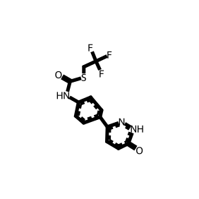 O=C(Nc1ccc(-c2ccc(=O)[nH]n2)cc1)SCC(F)(F)F